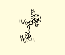 COc1cc(C(C)OC(C)C)c([N+](=O)[O-])cc1OCCCC(=O)OC(C)(C)C